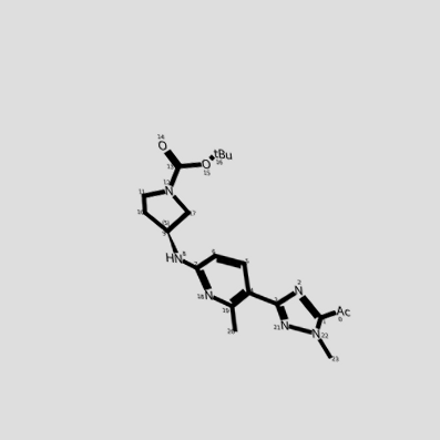 CC(=O)c1nc(-c2ccc(N[C@H]3CCN(C(=O)OC(C)(C)C)C3)nc2C)nn1C